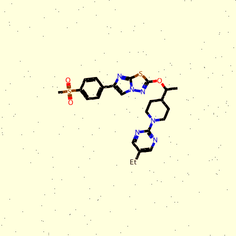 CCc1cnc(N2CCC(C(C)Oc3nn4cc(-c5ccc(S(C)(=O)=O)cc5)nc4s3)CC2)nc1